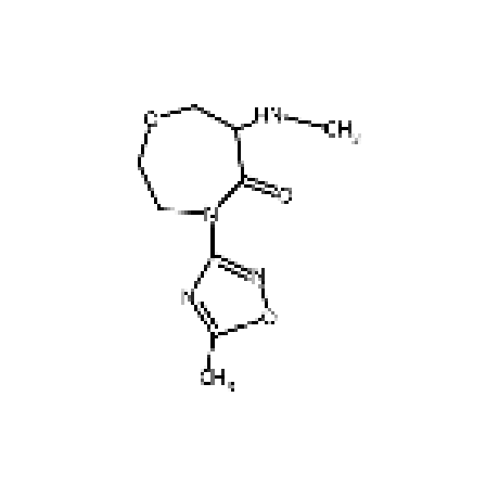 CNC1COCCN(c2noc(C)n2)C1=O